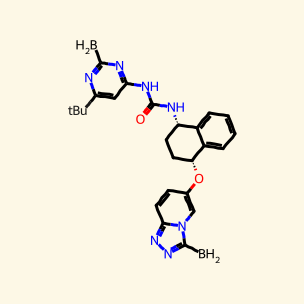 Bc1nc(NC(=O)N[C@H]2CC[C@@H](Oc3ccc4nnc(B)n4c3)c3ccccc32)cc(C(C)(C)C)n1